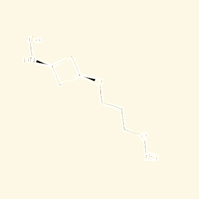 CC(C)(C)N[C@H]1C[C@@H](OCCCOC(C)(C)C)C1